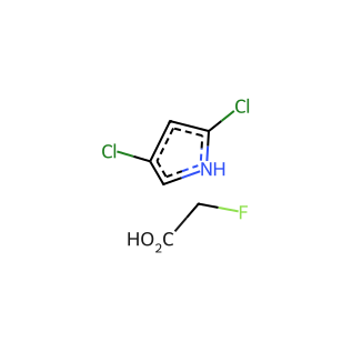 Clc1c[nH]c(Cl)c1.O=C(O)CF